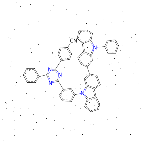 N#Cc1ccc(-c2nc(-c3ccccc3)nc(-c3cccc(-n4c5ccccc5c5ccc(-c6ccc7c8ccccc8n(-c8ccccc8)c7c6)cc54)c3)n2)cc1